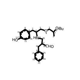 CC(C)COC(C)COCC(Cc1ccc(O)cc1)NCC(C=O)Cc1ccccc1